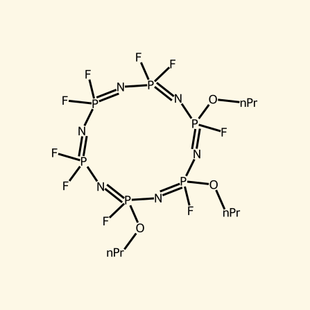 CCCOP1(F)=NP(F)(F)=NP(F)(F)=NP(F)(F)=NP(F)(OCCC)=NP(F)(OCCC)=N1